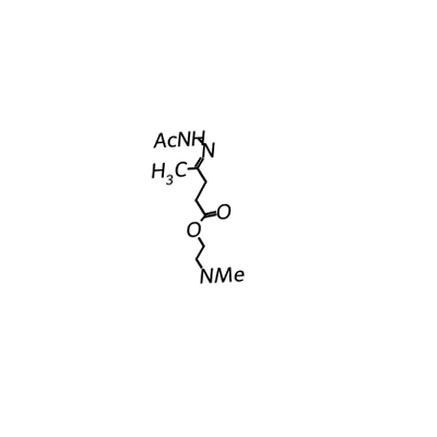 CNCCOC(=O)CC/C(C)=N/NC(C)=O